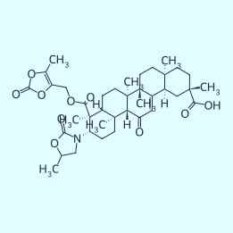 Cc1oc(=O)oc1COC(=O)[C@]1(C)[C@@H](N2CC(C)OC2=O)CC[C@@]2(C)[C@H]1CC[C@]1(C)[C@@H]2C(=O)C=C2[C@@H]3C[C@@](C)(C(=O)O)CC[C@]3(C)CC[C@]21C